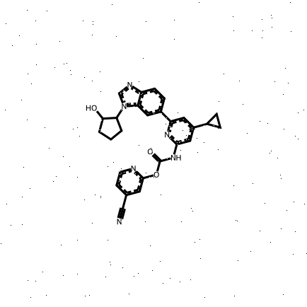 N#Cc1ccnc(OC(=O)Nc2cc(C3CC3)cc(-c3ccc4ncn(C5CCCC5O)c4c3)n2)c1